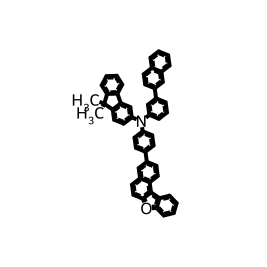 CC1(C)c2ccccc2-c2cc(N(c3ccc(-c4ccc5c(ccc6oc7ccccc7c65)c4)cc3)c3cccc(-c4ccc5ccccc5c4)c3)ccc21